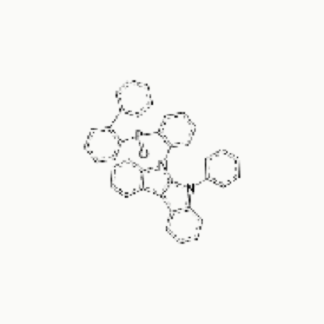 O=P1(c2ccccc2-n2c3ccccc3c3c4ccccc4n(-c4ccccc4)c32)c2ccccc2-c2ccccc21